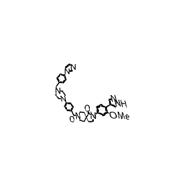 COc1cc(N2CCC3(CCN(C(=O)c4ccc(N5CCN(Cc6ccc(-n7ccnc7)cc6)CC5)cc4)CC3)C2=O)ccc1-c1cn[nH]c1